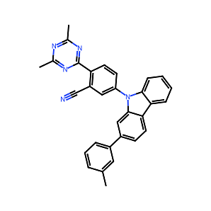 Cc1cccc(-c2ccc3c4ccccc4n(-c4ccc(-c5nc(C)nc(C)n5)c(C#N)c4)c3c2)c1